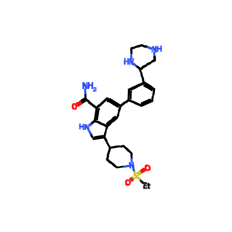 CCS(=O)(=O)N1CCC(c2c[nH]c3c(C(N)=O)cc(-c4cccc(C5CNCCN5)c4)cc23)CC1